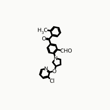 Cc1ccccc1C(=O)c1ccc(N2CCC(Oc3ncccc3Cl)C2)c(C=O)c1